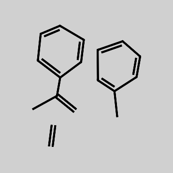 C=C.C=C(C)c1ccccc1.Cc1ccccc1